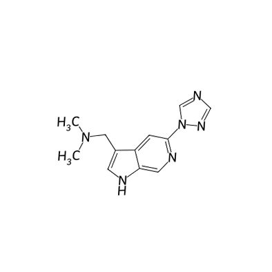 CN(C)Cc1c[nH]c2cnc(-n3cncn3)cc12